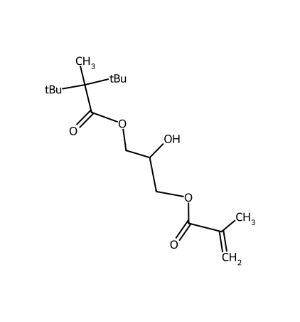 C=C(C)C(=O)OCC(O)COC(=O)C(C)(C(C)(C)C)C(C)(C)C